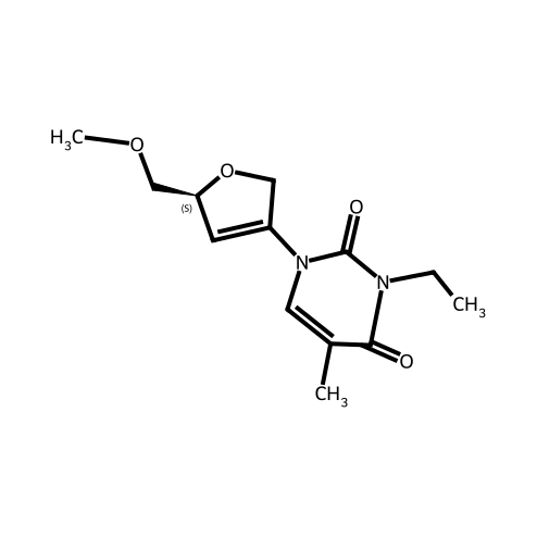 CCn1c(=O)c(C)cn(C2=C[C@@H](COC)OC2)c1=O